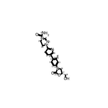 NC(=O)N1C=NN(c2ccc(-c3ccc(N4C[C@H](CO)OC4=O)cc3F)cn2)CC1